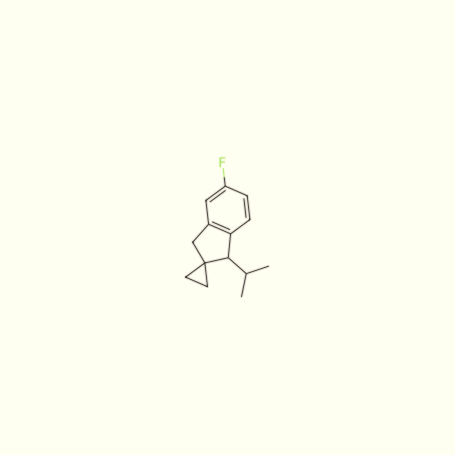 CC(C)C1c2ccc(F)cc2CC12CC2